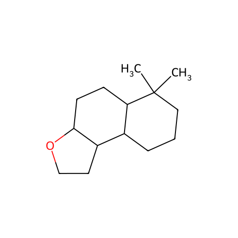 CC1(C)CCCC2C3CCOC3CCC21